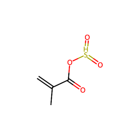 C=C(C)C(=O)O[SH](=O)=O